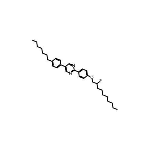 CCCCCCCCC(F)COc1ccc(-c2ncc(-c3ccc(CCCCCCC)cc3)cn2)cc1